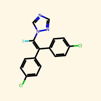 FC(=C(c1ccc(Cl)cc1)c1ccc(Cl)cc1)n1cncn1